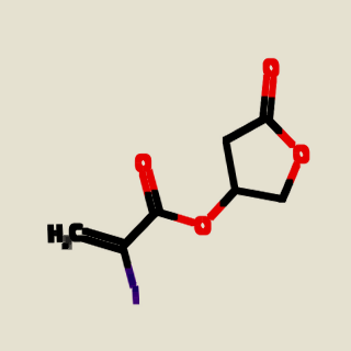 C=C(I)C(=O)OC1COC(=O)C1